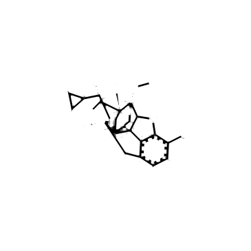 CO[C@]12CCC[C@@]3(C[C@@H]1[C@@H](C)O)[C@H]1Cc4ccc(C)c5c4[C@@]3(CCN1CC1CC1)C2O5